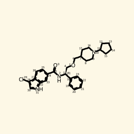 O=C(N[C@@H](COCC1CCN(C2CCCC2)CC1)c1ccccc1)c1ccc2c(Cl)c[nH]c2c1